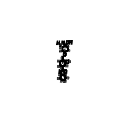 Cl.NC1(O)CCC(OCc2ccc(-c3nc4ccccc4o3)cc2)CC1